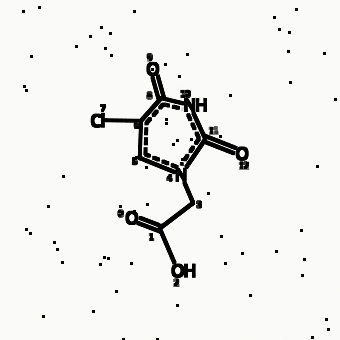 O=C(O)Cn1cc(Cl)c(=O)[nH]c1=O